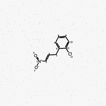 O=[N+]([O-])C=CCc1ccccc1Cl